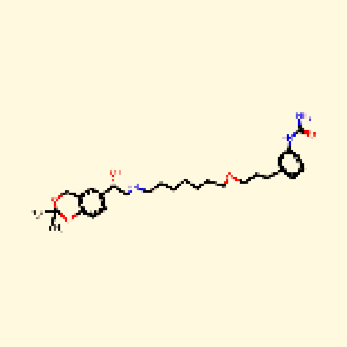 CC1(C)OCc2cc([C@H](O)CNCCCCCCCOCCCc3cccc(NC(N)=O)c3)ccc2O1